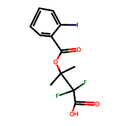 CC(C)(OC(=O)c1ccccc1I)C(F)(F)C(=O)O